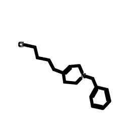 ClCCCCC1=CCN(Cc2ccccc2)CC1